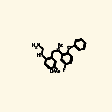 COc1ccc(NCN)c(CN(C(C)=O)c2cc(F)ccc2Oc2ccccc2)c1